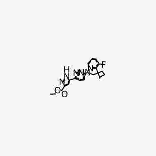 CCOC(=O)c1cc(-c2ccc(NCC3(c4ncccc4F)CCC3)nn2)[nH]n1